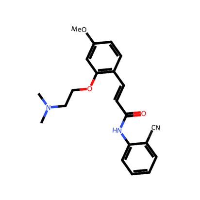 COc1ccc(/C=C/C(=O)Nc2ccccc2C#N)c(OCCN(C)C)c1